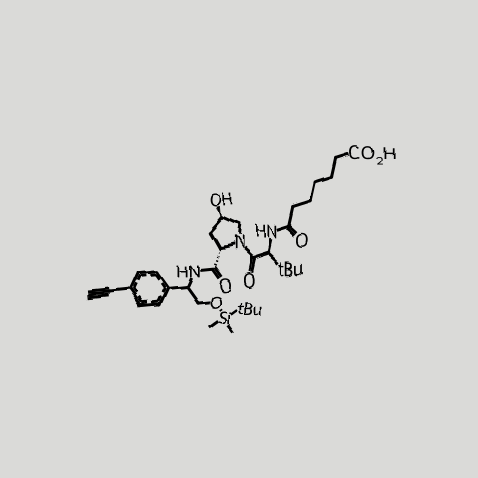 C#Cc1ccc(C(CO[Si](C)(C)C(C)(C)C)NC(=O)[C@@H]2C[C@@H](O)CN2C(=O)C(NC(=O)CCCCCC(=O)O)C(C)(C)C)cc1